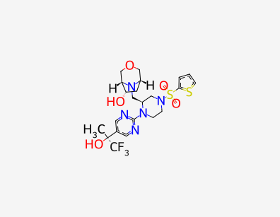 C[C@](O)(c1cnc(N2CCN(S(=O)(=O)c3cccs3)C[C@@H]2CN2[C@@H]3COC[C@H]2[C@@H](O)C3)nc1)C(F)(F)F